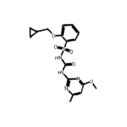 COc1cc(C)nc(NC(=O)NS(=O)(=O)c2ccccc2OCC2CC2)n1